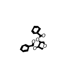 O=C(OC1COCC1OC(=O)c1ccccc1)c1ccccc1